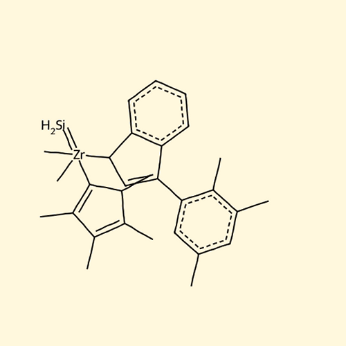 CC1=C(C)C(C)[C]([Zr]([CH3])([CH3])(=[SiH2])[CH]2C=C(c3cc(C)cc(C)c3C)c3ccccc32)=C1C